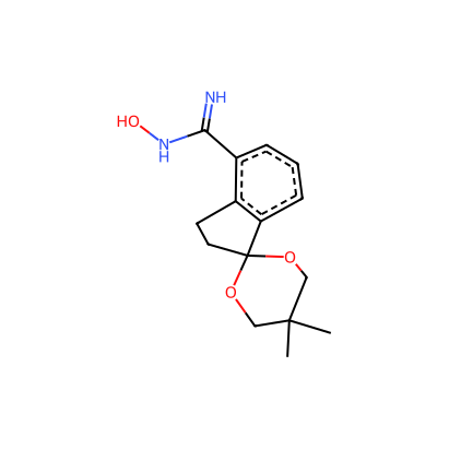 CC1(C)COC2(CCc3c(C(=N)NO)cccc32)OC1